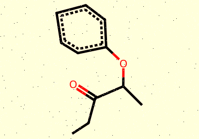 CCC(=O)C(C)Oc1ccccc1